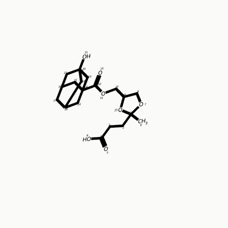 CC1(CCC(=O)O)OCC(COC(=O)C23CC4CC(CC(O)(C4)C2)C3)O1